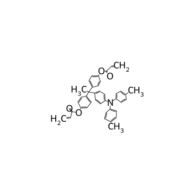 C=CC(=O)Oc1ccc(C(C)(c2ccc(OC(=O)C=C)cc2)c2ccc(N(c3ccc(C)cc3)c3ccc(C)cc3)cc2)cc1